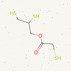 O=C(CS)OCC(S)CS